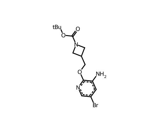 CC(C)(C)OC(=O)N1CC(COc2ncc(Br)cc2N)C1